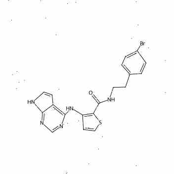 O=C(NCCc1ccc(Br)cc1)c1sccc1Nc1ncnc2[nH]ccc12